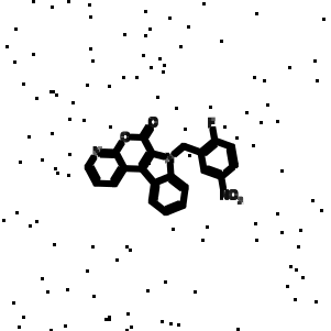 O=c1oc2ncccc2c2c3ccccc3n(Cc3cc([N+](=O)[O-])ccc3F)c12